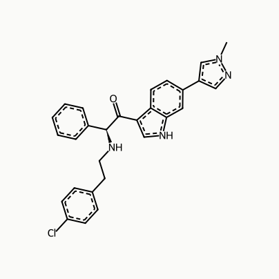 Cn1cc(-c2ccc3c(C(=O)[C@@H](NCCc4ccc(Cl)cc4)c4ccccc4)c[nH]c3c2)cn1